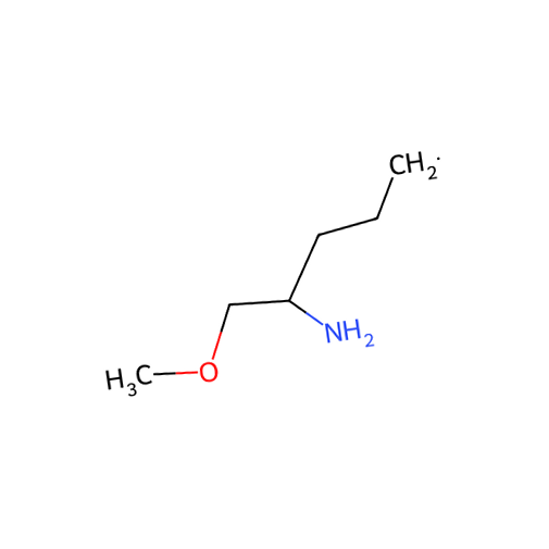 [CH2]CCC(N)COC